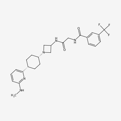 CNc1cccc([C@H]2CC[C@@H](N3CC(NC(=O)CNC(=O)c4cccc(C(F)(F)F)c4)C3)CC2)n1